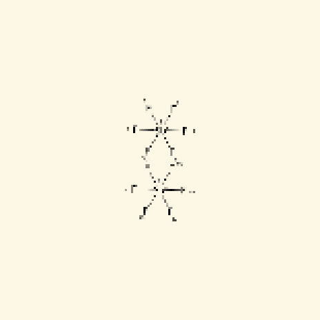 [F][Sb-]([F])([F])([F])([F])[F].[F][Sb-]([F])([F])([F])([F])[F]